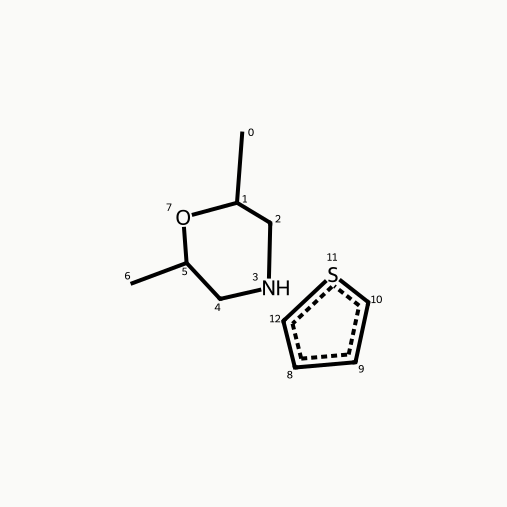 CC1CNCC(C)O1.c1ccsc1